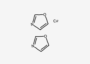 [Cu].c1cocn1.c1cocn1